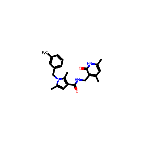 Cc1cc(C)c(CNC(=O)c2cc(C)n(Cc3cccc(C(F)(F)F)c3)c2C)c(=O)[nH]1